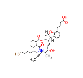 CC#CCC(C)[C@H](O)/C=C/[C@@H]1[C@H]2c3cccc(CCCC(=O)O)c3O[C@H]2C[C@H]1OC(=O)C1CCCCC1C(=O)NCCCCCCS